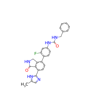 Cc1cnc(-c2ccc(-c3ccc(NC(=O)NCc4ccccc4)cc3F)c3c2C(=O)NC3)[nH]1